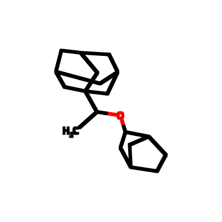 CC(OC1CC2CCC1C2)C12CC3CC(CC(C3)C1)C2